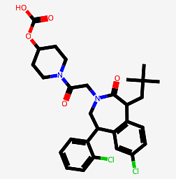 CC(C)(C)CC1C(=O)N(CC(=O)N2CCC(OC(=O)O)CC2)CC(c2ccccc2Cl)c2cc(Cl)ccc21